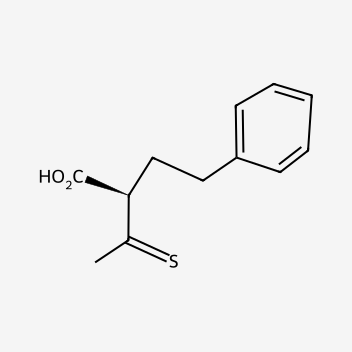 CC(=S)[C@H](CCc1ccccc1)C(=O)O